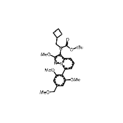 COCc1cc(OC)c(-c2cccc3c(N(CC4CCC4)C(=O)OC(C)(C)C)c(OC)nn23)c(OC)c1